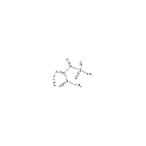 Cc1ccccc1C(=O)S(C)(=O)=O